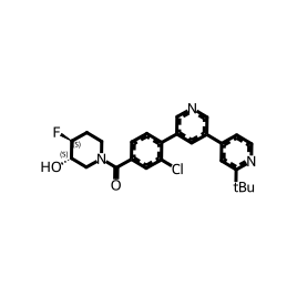 CC(C)(C)c1cc(-c2cncc(-c3ccc(C(=O)N4CC[C@H](F)[C@@H](O)C4)cc3Cl)c2)ccn1